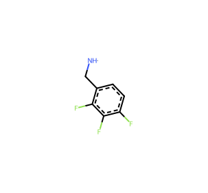 [NH]Cc1ccc(F)c(F)c1F